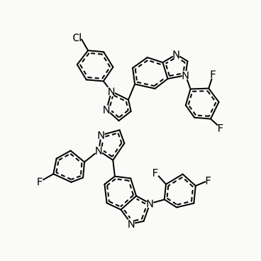 Fc1ccc(-n2cnc3ccc(-c4ccnn4-c4ccc(Cl)cc4)cc32)c(F)c1.Fc1ccc(-n2nccc2-c2ccc3ncn(-c4ccc(F)cc4F)c3c2)cc1